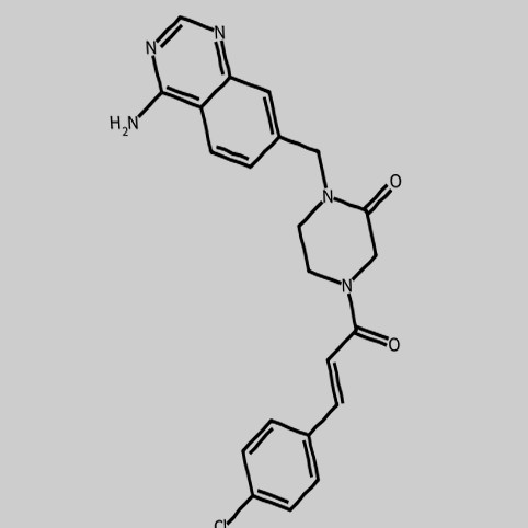 Nc1ncnc2cc(CN3CCN(C(=O)C=Cc4ccc(Cl)cc4)CC3=O)ccc12